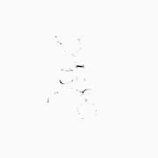 CCCC(=O)C(O)(C(O)C(=O)C(CCC)CCC)C(O)C(=O)C(CCC)CCC